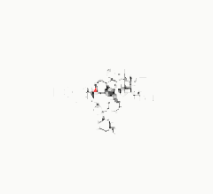 CN(CCO[C@@H](c1cccc(Cl)c1)[C@@H]1CCCN(C(=O)N[C@H](CN(C)C(=O)OC(C)(C)C)[C@@H](O)C2CCCCC2)C1)C(=O)O